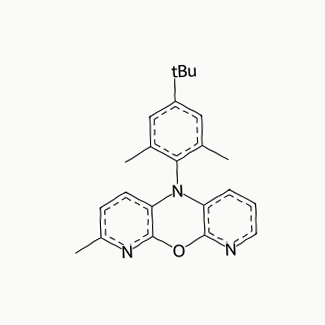 Cc1ccc2c(n1)Oc1ncccc1N2c1c(C)cc(C(C)(C)C)cc1C